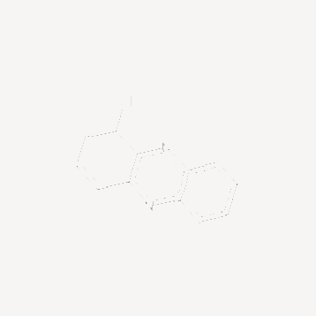 ClC1CC=Cc2nc3ccccc3nc21